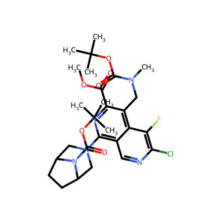 COC(=O)c1nc(N2CC3CCC(C2)N3C(=O)OC(C)(C)C)c2cnc(Cl)c(F)c2c1CN(C)C(=O)OC(C)(C)C